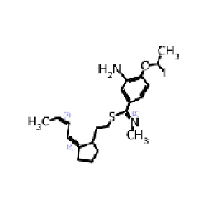 C/C=C\C=C1\CCCC1CCS/C(=N\C)c1ccc(OC(C)I)c(N)c1